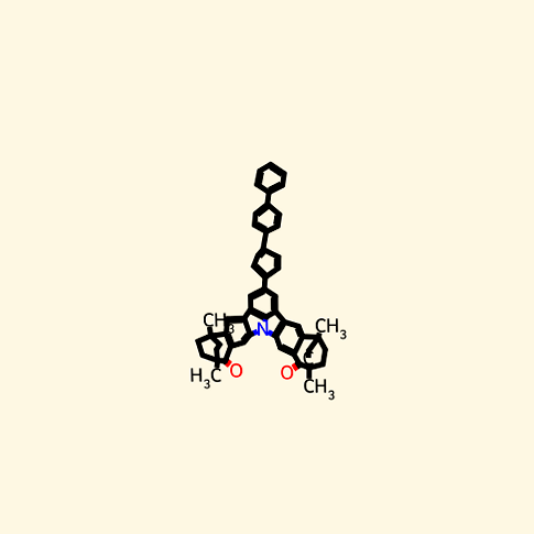 CC12CCC(C)(CC1)c1cc3c4cc(-c5ccc(-c6ccc(-c7ccccc7)cc6)cc5)cc5c6cc7c(cc6n(c3cc1C2=O)c45)C(=O)C1(C)CCC7(C)CC1